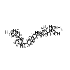 C#CC[C@H](NC(=O)OC)C(=O)N1CCC[C@H]1c1ncc(-c2ccc3c(c2)Oc2ccc(-c4cnc([C@@H]5CCCN5C(=O)[C@H](CC#C)NC(=O)OC)[nH]4)cc2O3)[nH]1